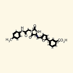 Cc1ccc(NC(=O)CN2C(=O)N/C(=C\c3ccc(-c4cccc(C(=O)O)c4)o3)C2=O)cc1